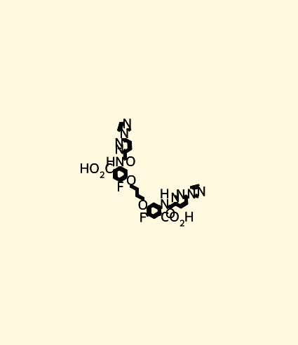 O=C(Nc1cc(OCCCCOc2cc(NC(=O)c3ccc(-n4ccnc4)nn3)c(C(=O)O)cc2F)c(F)cc1C(=O)O)c1ccc(-n2ccnc2)nn1